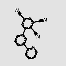 N#Cc1cc(C#N)c(C#N)c(-c2cccc(-c3ccccn3)c2)c1